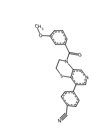 COc1cccc(C(=O)N2CCSc3c(-c4ccc(C#N)cc4)cncc32)c1